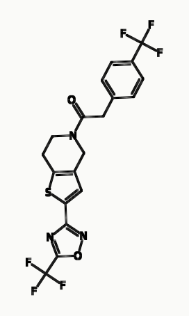 O=C(Cc1ccc(C(F)(F)F)cc1)N1CCc2sc(-c3noc(C(F)(F)F)n3)cc2C1